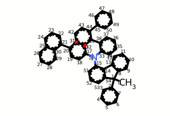 CC1(c2ccccc2)c2ccccc2-c2c(N(c3ccc(-c4cccc5ccccc45)cc3)c3ccccc3-c3ccccc3-c3ccccc3)cccc21